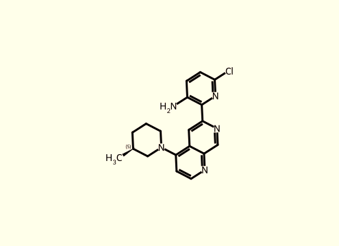 C[C@H]1CCCN(c2ccnc3cnc(-c4nc(Cl)ccc4N)cc23)C1